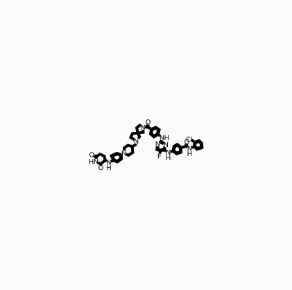 O=C1CCC(Nc2ccc(N3CCC(CN4CCC5(CCN(C(=O)c6ccc(Nc7ncc(F)c(Nc8ccc(C(=O)Nc9ccccc9Cl)cc8)n7)cc6)C5)C4)CC3)cc2)C(=O)N1